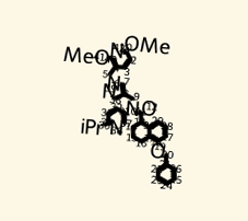 COc1ccc(Cn2cc(CN(C(=O)C3CCCc4c(OCc5ccccc5)cccc43)c3ccc(C(C)C)nc3)cn2)c(OC)n1